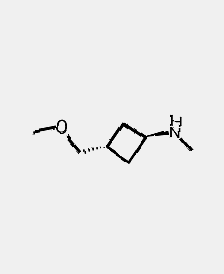 CN[C@H]1C[C@H](COC)C1